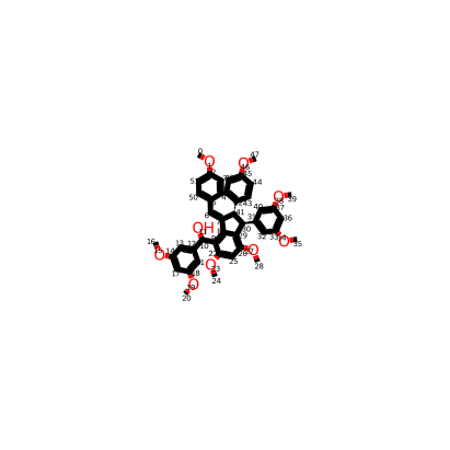 COc1ccc(/C=C2/c3c(C(O)c4cc(OC)cc(OC)c4)c(OC)cc(OC)c3[C@H](c3cc(OC)cc(OC)c3)[C@H]2c2ccc(OC)cc2)cc1